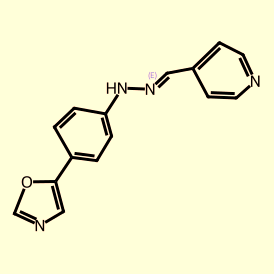 C(=N\Nc1ccc(-c2cnco2)cc1)/c1ccncc1